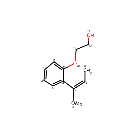 C/C=C(/OC)c1ccccc1OCCO